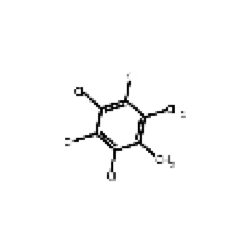 [CH2]c1c(C)c(Cl)c(Cl)c(Cl)c1Cl